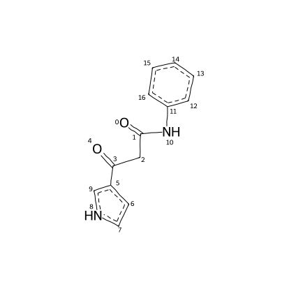 O=C(CC(=O)c1cc[nH]c1)Nc1ccccc1